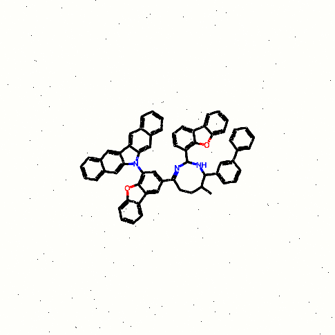 CC1CC/C(c2cc(-n3c4cc5ccccc5cc4c4cc5ccccc5cc43)c3oc4ccccc4c3c2)=N\C(c2cccc3c2oc2ccccc23)NC1c1cccc(-c2ccccc2)c1